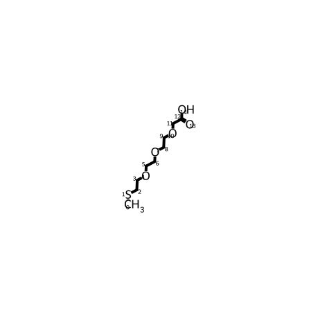 CSCCOCCOCCOCC(=O)O